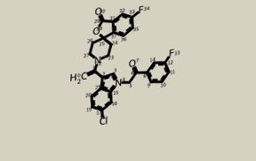 C=C(c1cn(CC(=O)c2cccc(F)c2)c2cc(Cl)ccc12)N1CCC2(CC1)OC(=O)c1cc(F)ccc12